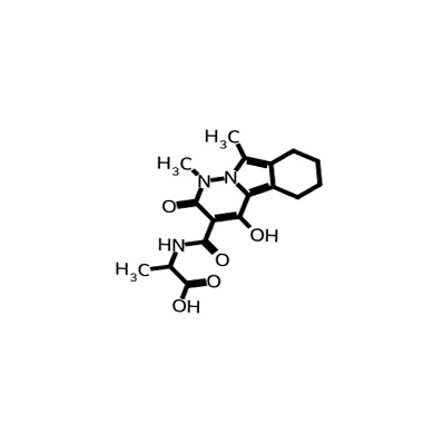 Cc1c2c(c3c(O)c(C(=O)NC(C)C(=O)O)c(=O)n(C)n13)CCCC2